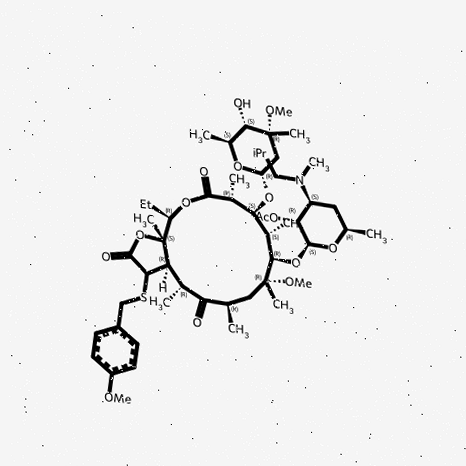 CC[C@H]1OC(=O)[C@H](C)[C@@H](O[C@H]2C[C@@](C)(OC)[C@@H](O)[C@H](C)O2)[C@H](C)[C@@H](O[C@@H]2O[C@H](C)C[C@H](N(C)CC(C)C)[C@H]2OC(C)=O)[C@](C)(OC)C[C@@H](C)C(=O)[C@H](C)[C@H]2C(SCc3ccc(OC)cc3)C(=O)O[C@@]21C